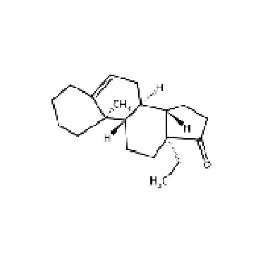 CC[C@]12CC[C@H]3[C@@H](CC=C4CCCC[C@@]43C)[C@@H]1CCC2=O